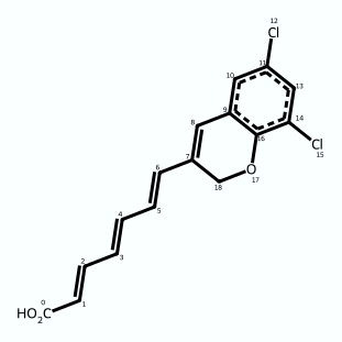 O=C(O)/C=C/C=C/C=C/C1=Cc2cc(Cl)cc(Cl)c2OC1